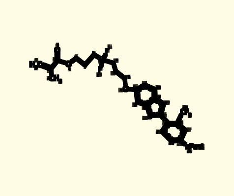 C=C(C)C(=O)OCCCC(F)(F)CCCOc1ccc2cc(-c3ccc(CCCCC)cc3C(F)(F)F)sc2c1